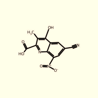 Cc1c(C(=O)O)nc2c([N+](=O)[O-])cc(C#N)cc2c1O